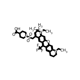 CCN1CCCc2cc3c(cc21)Oc1cc2c(cc1=C3C(F)(F)F)C(CS(=O)(=O)N1CCC(C(=O)O)CC1)=CC(C)(C)[N+]=2CC